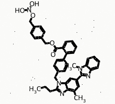 CCCc1nc2c(C)cc(-c3nc4ccccc4n3C)cc2n1Cc1ccc(-c2ccccc2C(=O)OCc2ccc(CON(O)O)cc2)cc1